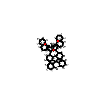 c1ccc(-c2cc(-c3cccc4c3-c3c(-c5cc(-c6ccccn6)nc(-c6ccccn6)c5)cccc3C43c4ccccc4Sc4ccccc43)nc(-c3ccccc3)n2)cc1